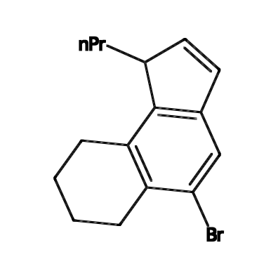 CCCC1C=Cc2cc(Br)c3c(c21)CCCC3